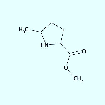 COC(=O)C1CCC(C)N1